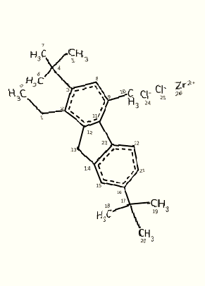 CCc1c(C(C)(C)C)cc(C)c2c1Cc1cc(C(C)(C)C)ccc1-2.[Cl-].[Cl-].[Zr+2]